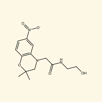 CC1(C)CN(CC(=O)NCCO)c2cc([N+](=O)[O-])ccc2O1